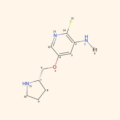 CCNc1cc(OC[C@@H]2CCCN2)cnc1F